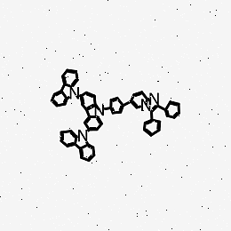 c1ccc(-c2nc3ccc(-c4ccc(-n5c6ccc(-n7c8ccccc8c8ccccc87)cc6c6cc(-n7c8ccccc8c8ccccc87)ccc65)cc4)cn3c2-c2ccccc2)cc1